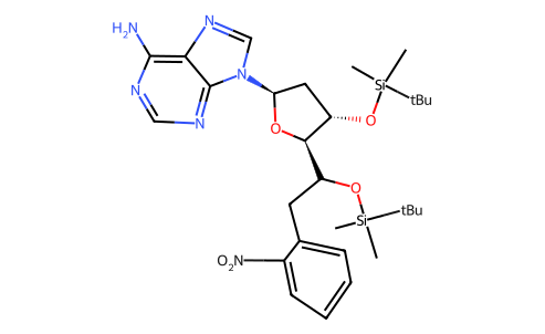 CC(C)(C)[Si](C)(C)OC(Cc1ccccc1[N+](=O)[O-])[C@H]1O[C@@H](n2cnc3c(N)ncnc32)C[C@@H]1O[Si](C)(C)C(C)(C)C